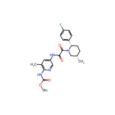 Cc1cc(NC(=O)C(=O)N2C[C@@H](C)CC[C@H]2c2ccc(F)cc2)cnc1NC(=O)OC(C)(C)C